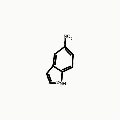 O=[N+]([O-])c1ccc2[15nH]ccc2c1